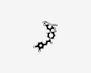 COC(=O)C(CC(=O)OC(C)(C)C)N1CCN(C(=O)/C=C/c2ccc(Cl)c(Cl)c2)CCC1=O